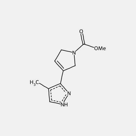 COC(=O)N1CC=C(c2n[nH]cc2C)C1